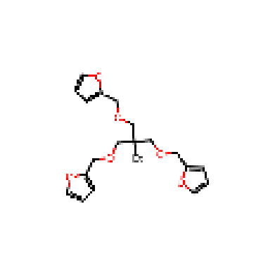 CCC(COCc1ccco1)(COCc1ccco1)COCc1ccco1